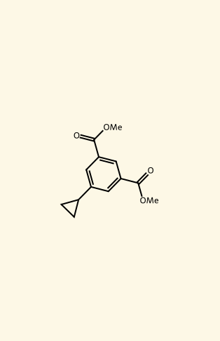 COC(=O)c1cc(C(=O)OC)cc(C2CC2)c1